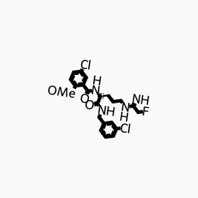 COc1ccc(Cl)cc1C(=O)N[C@@H](CCCNC(=N)CF)C(=O)NCc1cccc(Cl)c1